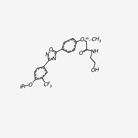 CC(C)Oc1ccc(-c2noc(-c3ccc(O[C@H](C)C(=O)NCCO)cc3)n2)cc1C(F)(F)F